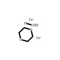 C1COCCO1.O=C([O-])[O-].[Cs+].[Cs+]